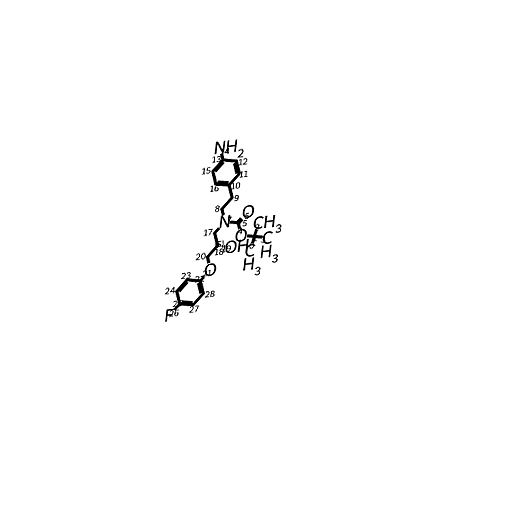 CC(C)(C)OC(=O)N(CCc1ccc(N)cc1)C[C@H](O)COc1ccc(F)cc1